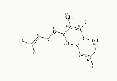 CC(C)=CCOC(OCC=C(C)C)C(O)=C(C)CO